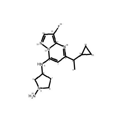 CC(c1cc(NC2CCN(N)C2)n2ncc(F)c2n1)C1CC1